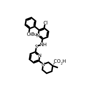 CC(C)COc1ccccc1-c1nc(NSc2cccc(N3CCC[C@@](C)(C(=O)O)C3)n2)ccc1Cl